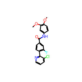 COc1ccc(NC(=O)c2ccc(-c3ncccc3Cl)c(F)c2)cc1OC